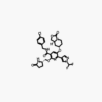 O=C1CC[C@@H](COc2nc(-c3cnn(C(F)F)c3)c(O[C@H]3CCN4C(=O)OC[C@@H]4C3)cc2C(=O)NCc2ccc(Cl)cc2)N1